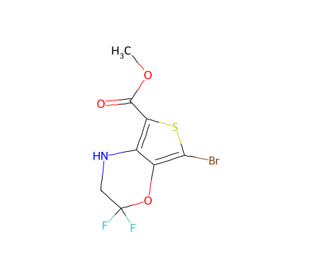 COC(=O)c1sc(Br)c2c1NCC(F)(F)O2